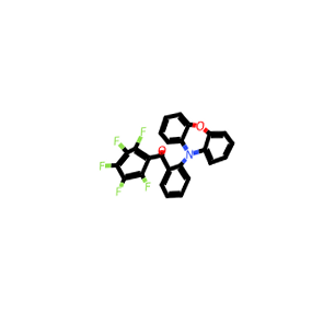 O=C(c1ccccc1N1c2ccccc2Oc2ccccc21)c1c(F)c(F)c(F)c(F)c1F